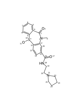 CN1C(=O)c2ccccc2[S+]([O-])c2ccc(C(=O)NCCN3CCCC3)cc21